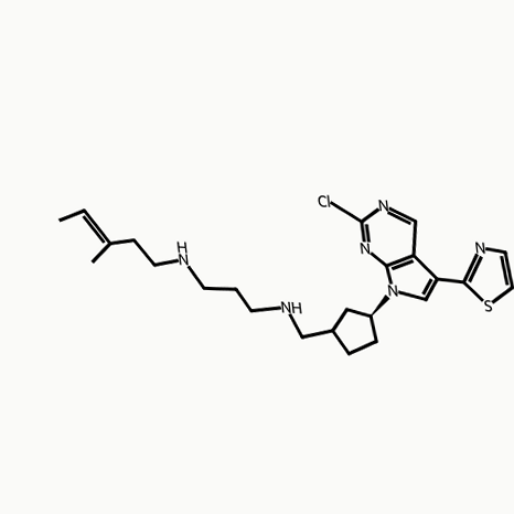 C/C=C(\C)CCNCCCNCC1CC[C@H](n2cc(-c3nccs3)c3cnc(Cl)nc32)C1